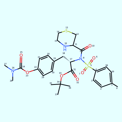 Cc1ccc(S(=O)(=O)N(C(=O)C2CSCCN2)[C@@H](Cc2ccc(OC(=O)N(C)C)cc2)C(=O)OC(C)(C)C)cc1